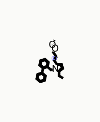 CCc1ccc(/C=C/COOC)n1Cc1ccccc1-c1ccccc1